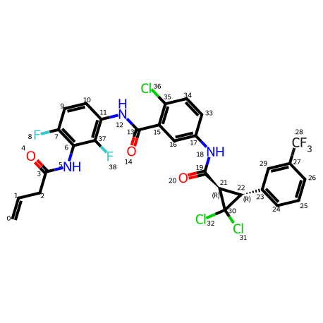 C=CCC(=O)Nc1c(F)ccc(NC(=O)c2cc(NC(=O)[C@H]3[C@H](c4cccc(C(F)(F)F)c4)C3(Cl)Cl)ccc2Cl)c1F